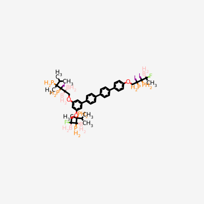 BC(C)(F)C(P)(I)C(P)(I)COc1ccc(-c2ccc(-c3ccc(-c4cc(OCC(B)(B)C(P)(I)C(C)(P)C(C)C)cc(OCC(B)(F)C(B)(P)C(C)(P)C(C)C)c4)cc3)cc2)cc1